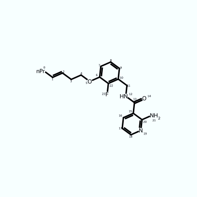 CCCC=CCCOc1cccc(CNC(=O)c2cccnc2N)c1F